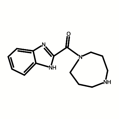 O=C(c1nc2ccccc2[nH]1)N1CCCNCCC1